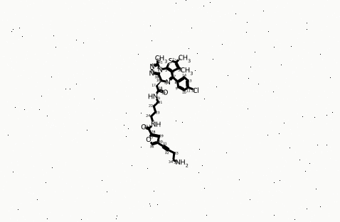 Cc1sc2c(c1C)C(c1ccc(Cl)cc1)=N[C@@H](CC(=O)NCCCCNC(=O)c1cc(C#CCCN)co1)c1nnc(C)n1-2